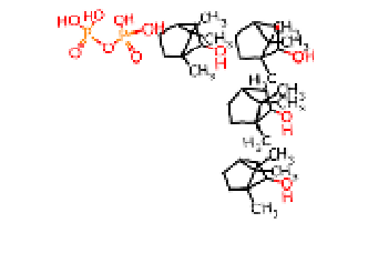 CC1(C)C2CCC1(C)C(O)C2.CC1(C)C2CCC1(C)C(O)C2.CC1(C)C2CCC1(C)C(O)C2.CC1(C)C2CCC1(C)C(O)C2.O=P(O)(O)OP(=O)(O)O